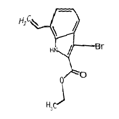 C=Cc1cccc2c(Br)c(C(=O)OCC)[nH]c12